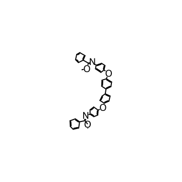 CO/C(=N\c1ccc(Oc2ccc(-c3ccc(Oc4ccc(/N=C(\OC)c5ccccc5)cc4)cc3)cc2)cc1)c1ccccc1